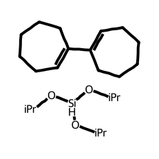 C1=C(C2=CCCCCC2)CCCCC1.CC(C)O[SiH](OC(C)C)OC(C)C